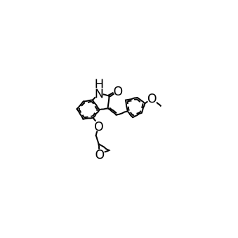 COc1ccc(C=C2C(=O)Nc3cccc(OCC4CO4)c32)cc1